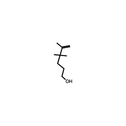 C=C(C)C(C)(C)CCCO